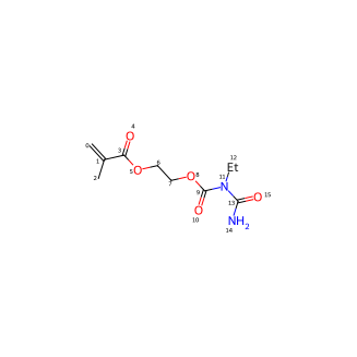 C=C(C)C(=O)OCCOC(=O)N(CC)C(N)=O